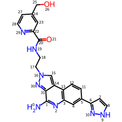 Nc1nc2cc(-c3cc[nH]n3)ccc2c2cn(CCNC(=O)c3cc(CO)ccn3)nc12